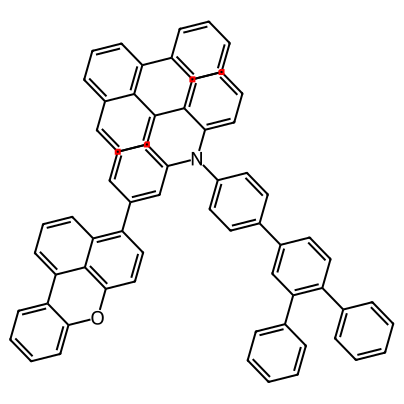 c1ccc(-c2ccc(-c3ccc(N(c4cccc(-c5ccc6c7c(cccc57)-c5ccccc5O6)c4)c4ccccc4-c4cccc5cccc(-c6ccccc6)c45)cc3)cc2-c2ccccc2)cc1